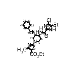 CCOC(=O)c1sc(N2CC[C@H](NC(=O)c3nc(Cl)c(CC)[nH]3)[C@@H](NCc3ccccc3)C2)nc1C